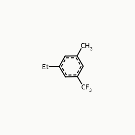 CCc1cc(C)cc(C(F)(F)F)c1